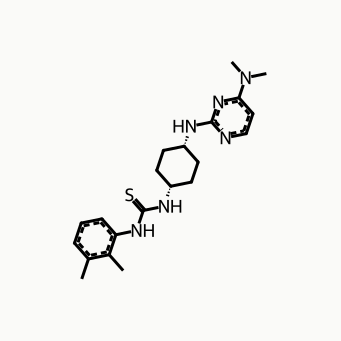 Cc1cccc(NC(=S)N[C@H]2CC[C@@H](Nc3nccc(N(C)C)n3)CC2)c1C